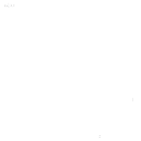 CCCCC1CCC(CCC2CCC(c3cc(F)cc(F)c3)CC2)CC1